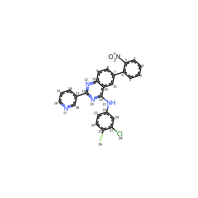 O=[N+]([O-])c1ccccc1-c1ccc2nc(-c3cccnc3)nc(Nc3ccc(F)c(Cl)c3)c2c1